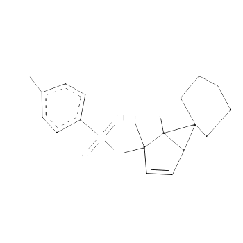 Cc1ccc(S(=O)(=O)OC2(O)C=CC3C4(CCCCC4)C32O)cc1